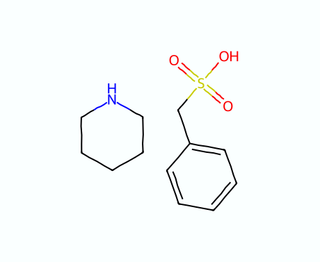 C1CCNCC1.O=S(=O)(O)Cc1ccccc1